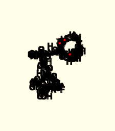 C=C1C[C@@H]2CC[C@@]34C[C@H]5OC6C(O[C@H]7CC[C@H](CC(=O)C[C@@H]8[C@@H](OC)[C@@H](C[C@H](O)CNC(=O)CNC(=O)[C@H](Cc9ccccc9)NC(=O)CNC(=O)CNC(=O)C(CCC(=O)N[C@H]9CCc%10c(C)c(F)cc%11nc%12c(c9c%10%11)Cn9c-%12cc%10c(c9=O)COC(=O)[C@]%10(O)CC)NC(=O)CCCCCN9C(=O)C=CC9O)O[C@H]8C[C@H]8O[C@@H](CC[C@@H]1O2)C[C@@H](C)C8=C)O[C@@H]7[C@@H]6O3)C5O4